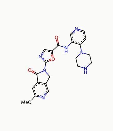 COc1cc2c(cn1)CN(c1ncc(C(=O)Nc3cnccc3N3CCNCC3)o1)C2=O